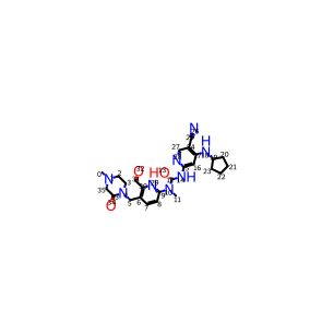 CN1CCN(Cc2ccc(N(C)C(O)Nc3cc(NC4CCCC4)c(C#N)cn3)nc2C=O)C(=O)C1